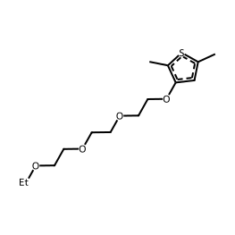 CCOCCOCCOCCOc1cc(C)sc1C